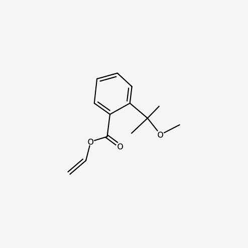 C=COC(=O)c1ccccc1C(C)(C)OC